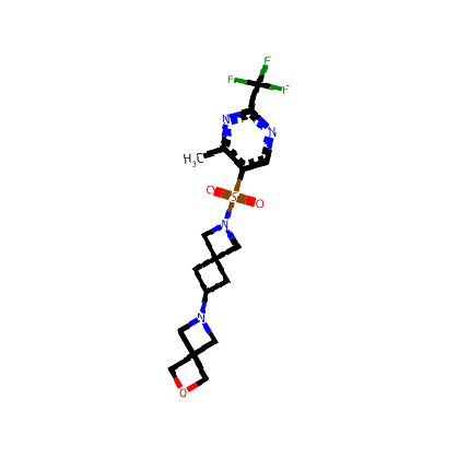 Cc1nc(C(F)(F)F)ncc1S(=O)(=O)N1CC2(CC(N3CC4(COC4)C3)C2)C1